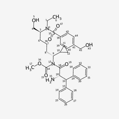 CCN([C@H](CO)CCC[C@H](C1CC1)N(C(=O)OC)C(=O)[C@@H](N)C(c1ccccc1)c1ccccc1)S(=O)(=O)c1ccc(CO)cc1